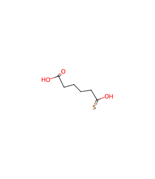 O=C(O)CCCCC(O)=S